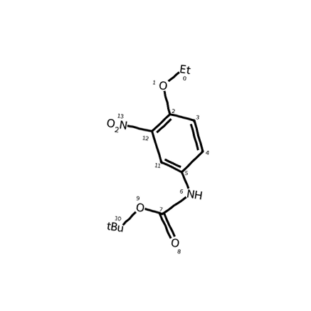 CCOc1ccc(NC(=O)OC(C)(C)C)cc1[N+](=O)[O-]